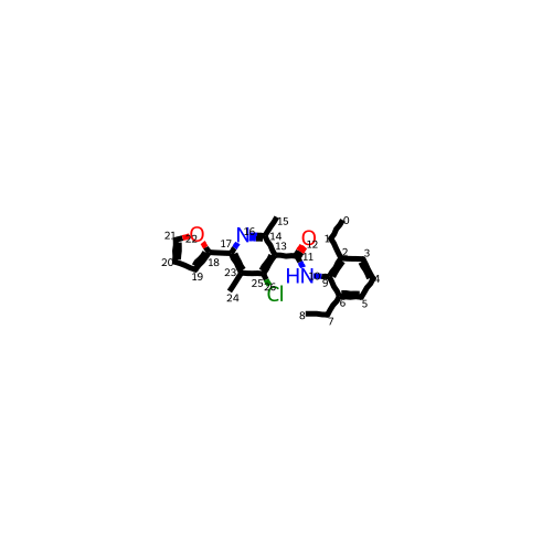 CCc1cccc(CC)c1NC(=O)c1c(C)nc(-c2ccco2)c(C)c1Cl